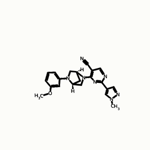 COc1cccc(N2C[C@@H]3C[C@@H]2CN3c2nc(-c3cnn(C)c3)ncc2C#N)c1